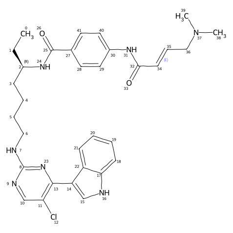 CC[C@H](CCCCNc1ncc(Cl)c(-c2c[nH]c3ccccc23)n1)NC(=O)c1ccc(NC(=O)/C=C/CN(C)C)cc1